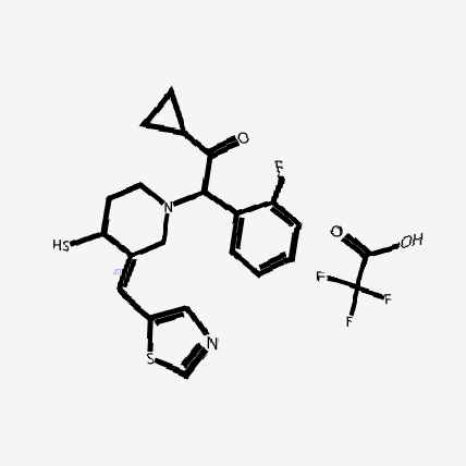 O=C(C1CC1)C(c1ccccc1F)N1CCC(S)/C(=C/c2cncs2)C1.O=C(O)C(F)(F)F